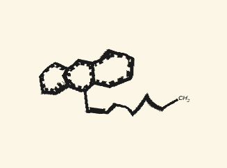 CCCCC/C=[C]\c1c2ccccc2cc2ccccc12